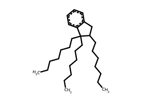 CCCCCCCC1Cc2ccccc2C1(CCCCCCC)CCCCCCC